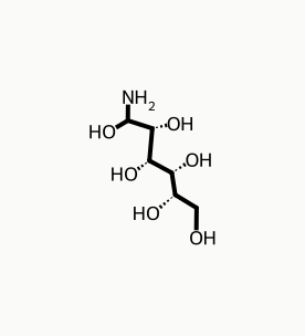 NC(O)[C@H](O)[C@@H](O)[C@H](O)[C@@H](O)CO